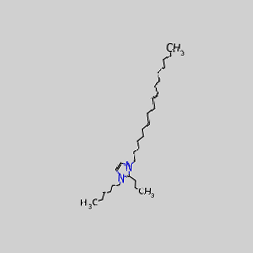 CCCCCCCCCCCCCCCCCCN1C=CN(CCCCCC)C1CCC